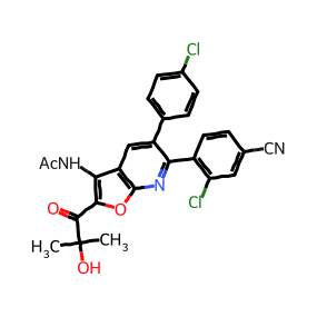 CC(=O)Nc1c(C(=O)C(C)(C)O)oc2nc(-c3ccc(C#N)cc3Cl)c(-c3ccc(Cl)cc3)cc12